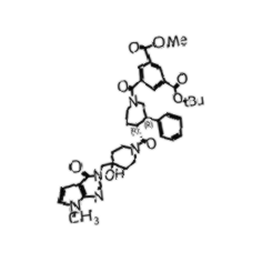 COC(=O)c1cc(C(=O)OC(C)(C)C)cc(C(=O)N2CC[C@@H](C(=O)N3CCC(O)(Cn4cnc5c(ccn5C)c4=O)CC3)[C@H](c3ccccc3)C2)c1